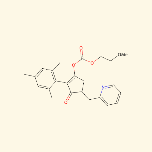 COCCOC(=O)OC1=C(c2c(C)cc(C)cc2C)C(=O)C(Cc2ccccn2)C1